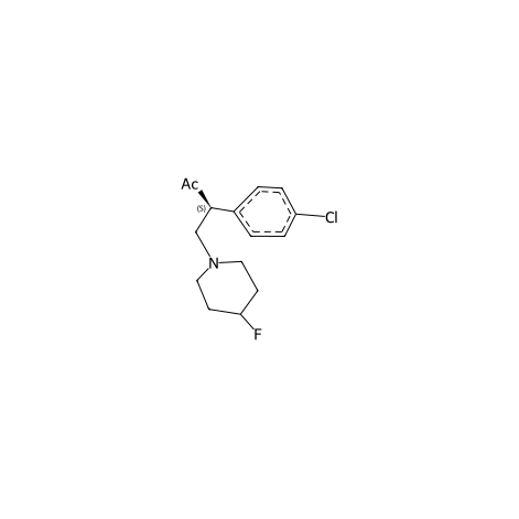 CC(=O)[C@H](CN1CCC(F)CC1)c1ccc(Cl)cc1